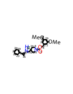 COc1cc(COC(=O)N2CCC(F)(CNC3CC3c3ccccc3)CC2)cc(OC)c1